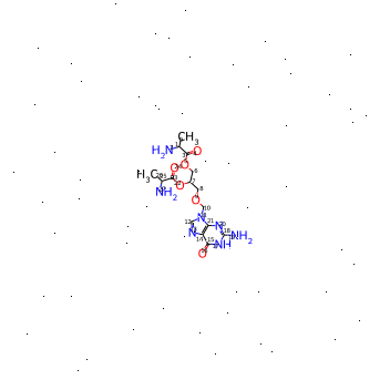 CC(N)C(=O)OCC(COCn1cnc2c(=O)[nH]c(N)nc21)OC(=O)C(C)N